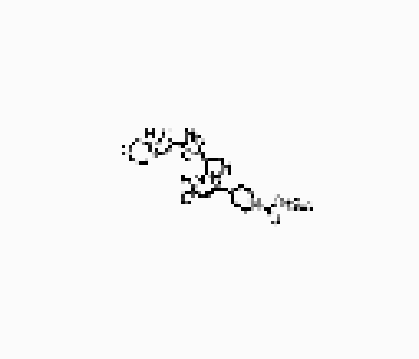 CC(CN1CCOCC1)c1nnc(-c2cnn3c(C4CCN(C(=O)OC(C)(C)C)CC4)cc(=O)[nH]c23)o1